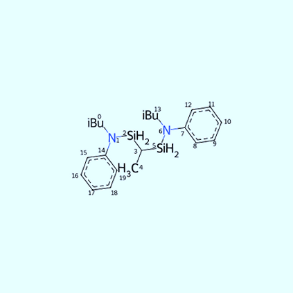 CCC(C)N([SiH2]C(C)[SiH2]N(c1ccccc1)C(C)CC)c1ccccc1